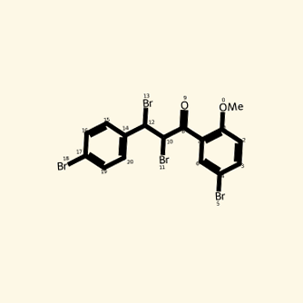 COc1ccc(Br)cc1C(=O)C(Br)C(Br)c1ccc(Br)cc1